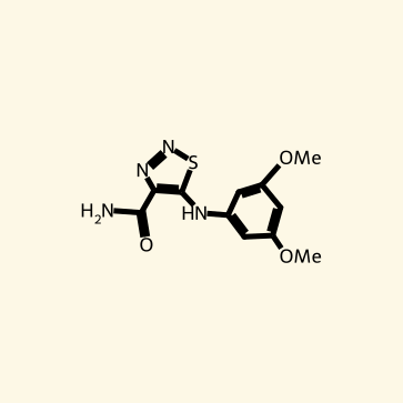 COc1cc(Nc2snnc2C(N)=O)cc(OC)c1